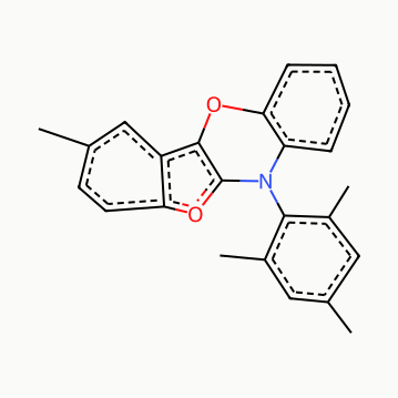 Cc1cc(C)c(N2c3ccccc3Oc3c2oc2ccc(C)cc32)c(C)c1